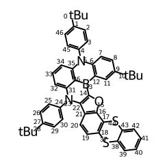 CC(C)(C)c1ccc(N2c3ccc(C(C)(C)C)cc3B3c4oc5c6c(ccc5c4N(c4ccc(C(C)(C)C)cc4)c4cccc2c43)Sc2ccccc2S6)cc1